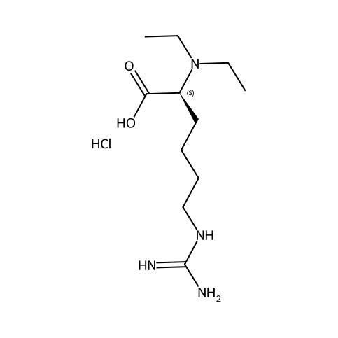 CCN(CC)[C@@H](CCCCNC(=N)N)C(=O)O.Cl